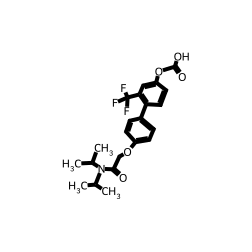 CC(C)N(C(=O)COc1ccc(-c2ccc(OC(=O)O)cc2C(F)(F)F)cc1)C(C)C